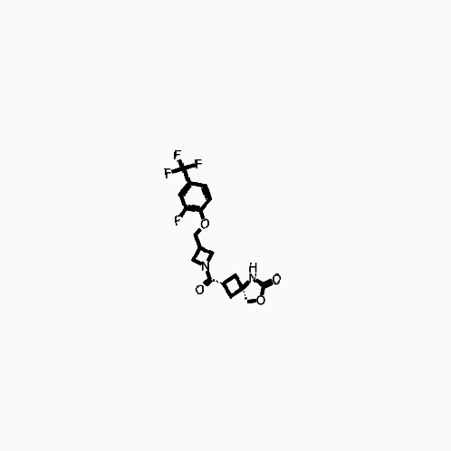 O=C1N[C@]2(CO1)C[C@@H](C(=O)N1CC(COc3ccc(C(F)(F)F)cc3F)C1)C2